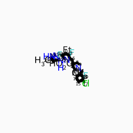 CCc1c(F)c(C[C@@]2(C(=O)O)CCN(Cc3cccc(Cl)c3F)[C@H](C)C2)nc(Nc2cc(C)[nH]n2)c1F